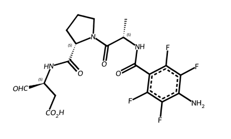 C[C@H](NC(=O)c1c(F)c(F)c(N)c(F)c1F)C(=O)N1CCC[C@H]1C(=O)N[C@H](C=O)CC(=O)O